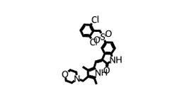 Cc1[nH]c(/C=C2\C(=O)Nc3ccc(S(=O)(=O)Cc4c(Cl)cccc4Cl)cc32)c(C)c1CN1CCOCC1